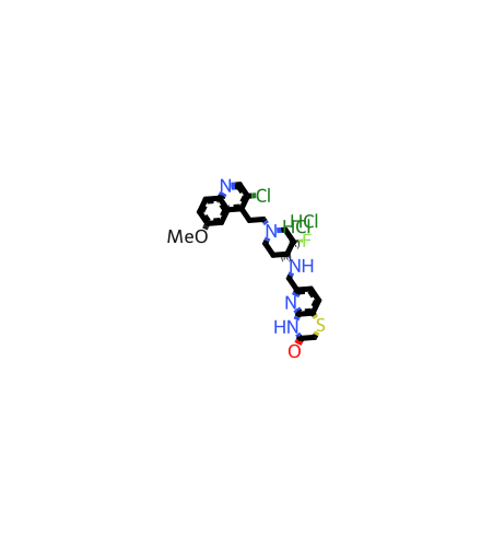 COc1ccc2ncc(Cl)c(CCN3CC[C@@H](NCc4ccc5c(n4)NC(=O)CS5)[C@H](F)C3)c2c1.Cl.Cl